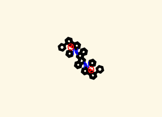 c1ccc(N(c2cc3c4ccccc4c(N(c4ccccc4)c4cccc5c4oc4c(C6CCCCC6)cccc45)cc3c3ccccc23)c2cccc3c2oc2c(C4CCCCC4)cccc23)cc1